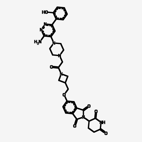 Nc1nnc(-c2ccccc2O)cc1N1CCN(CC(=O)N2CC(COc3ccc4c(c3)C(=O)N(C3CCC(=O)NC3=O)C4=O)C2)CC1